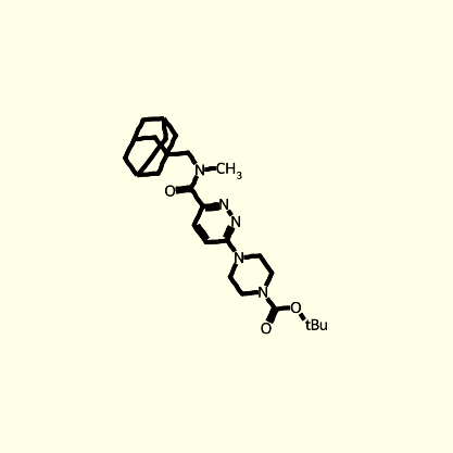 CN(CC12CC3CC(CC(C3)C1)C2)C(=O)c1ccc(N2CCN(C(=O)OC(C)(C)C)CC2)nn1